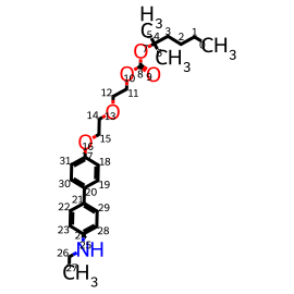 CCCCC(C)(C)OC(=O)OCCOCCOc1ccc(-c2ccc(NCC)cc2)cc1